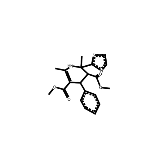 COC(=O)C1=C(C)NC(C)(c2nccs2)C(C(=O)OC)C1c1ccccc1